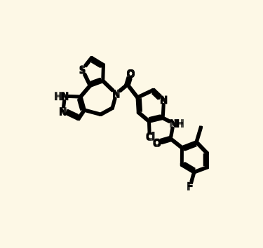 Cc1ccc(F)cc1C(=O)Nc1ncc(C(=O)N2CCc3cn[nH]c3-c3sccc32)cc1Cl